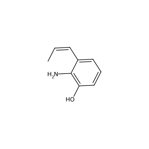 C/C=C\c1cccc(O)c1N